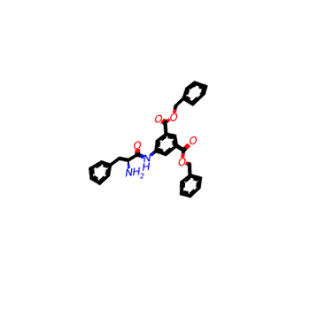 N[C@@H](Cc1ccccc1)C(=O)Nc1cc(C(=O)OCc2ccccc2)cc(C(=O)OCc2ccccc2)c1